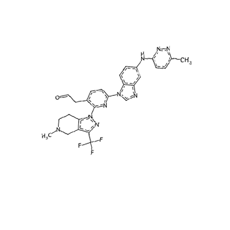 Cc1ccc(Nc2ccc3c(c2)ncn3-c2ccc(CC=O)c(-n3nc(C(F)(F)F)c4c3CCN(C)C4)n2)nn1